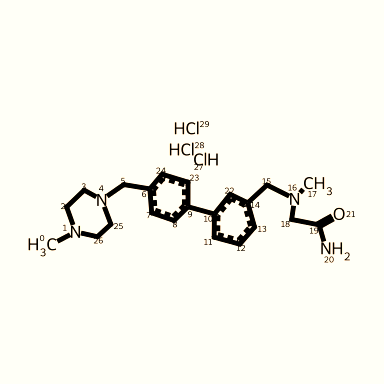 CN1CCN(Cc2ccc(-c3cccc(CN(C)CC(N)=O)c3)cc2)CC1.Cl.Cl.Cl